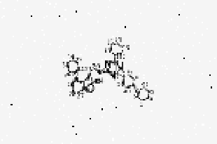 c1ccc(-c2ccc(-c3nc(-c4ccccc4)nc(-c4ccc5c(c4)oc4cccc(-c6ccccc6)c45)n3)cc2)cc1